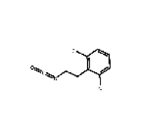 O=C=NCCc1c(Cl)cccc1Cl